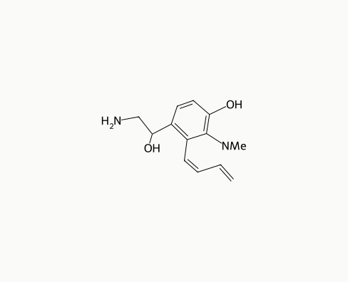 C=C/C=C\c1c(C(O)CN)ccc(O)c1NC